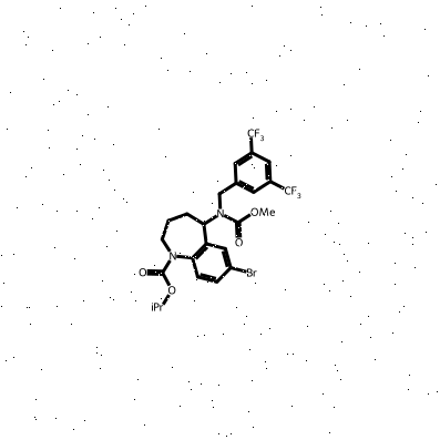 COC(=O)N(Cc1cc(C(F)(F)F)cc(C(F)(F)F)c1)C1CCCN(C(=O)OC(C)C)c2ccc(Br)cc21